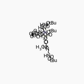 C[n+]1cn(CCCNC(=O)OC(C)(C)C)cc1-c1ccc(OC[C@H](O/N=C(\C(=O)N[C@@H]2C(=O)N(OS(=O)(=O)[O-])C2(C)C)c2csc(NC(=O)OC(C)(C)C)n2)C(=O)OC(C)(C)C)cc1